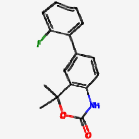 CC1(C)OC(=O)Nc2ccc(-c3ccccc3F)cc21